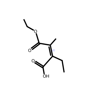 CCOC(=O)/C(C)=C(/CC)C(=O)O